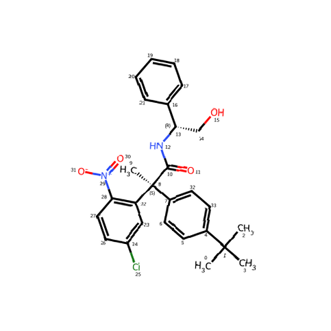 CC(C)(C)c1ccc([C@](C)(C(=O)N[C@@H](CO)c2ccccc2)c2cc(Cl)ccc2[N+](=O)[O-])cc1